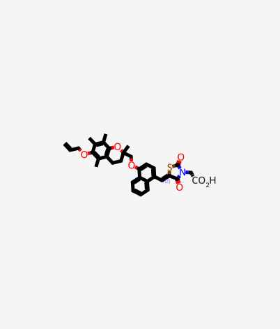 C=CCOc1c(C)c(C)c2c(c1C)CCC(C)(COc1ccc(/C=C3\SC(=O)N(CC(=O)O)C3=O)c3ccccc13)O2